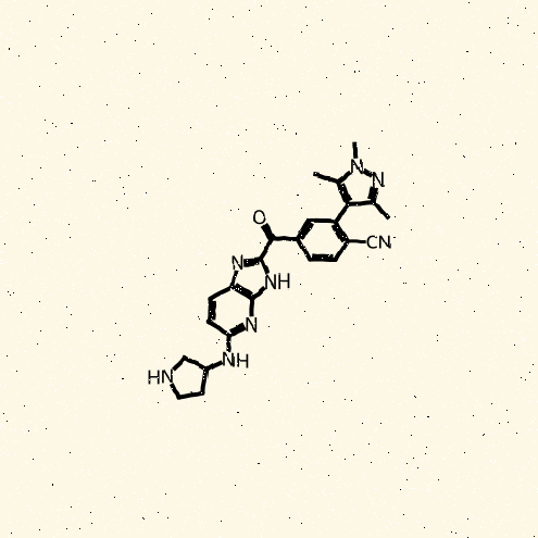 Cc1nn(C)c(C)c1-c1cc(C(=O)c2nc3ccc(NC4CCNC4)nc3[nH]2)ccc1C#N